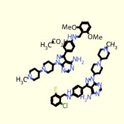 CC(=O)O.CN1CCC(N2CCC(n3nc(-c4ccc(NCc5c(F)cccc5Cl)cc4)c4c(N)ncnc43)CC2)CC1.COc1cccc(OC)c1CNc1ccc(-c2nn(C3CCN(C4CCN(C)CC4)CC3)c3ncnc(N)c23)cc1